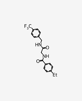 CCc1ccc(C(=O)NCC(=O)NCc2ccc(C(F)(F)F)cc2)cc1